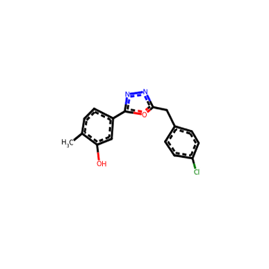 Cc1ccc(-c2nnc(Cc3ccc(Cl)cc3)o2)cc1O